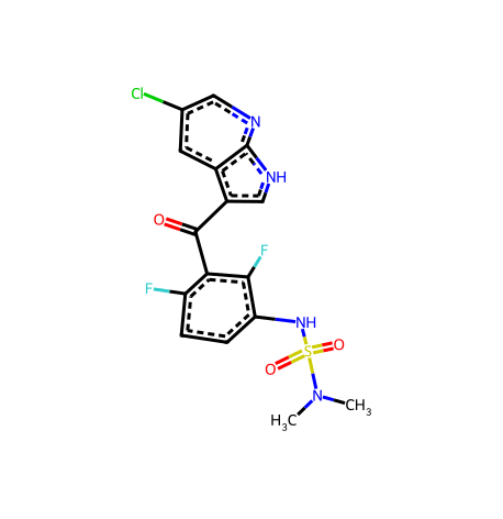 CN(C)S(=O)(=O)Nc1ccc(F)c(C(=O)c2c[nH]c3ncc(Cl)cc23)c1F